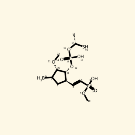 BC1C[C@H](/C=C/P(=O)(O)OC)[C@@H](OP(=O)(O)O[C@H](C)S)[C@H]1OC